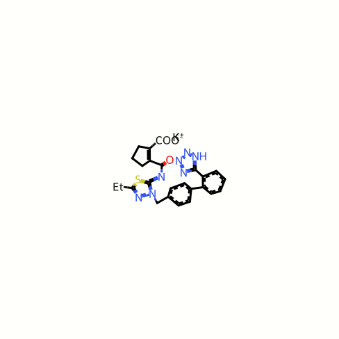 CCc1nn(Cc2ccc(-c3ccccc3-c3nnn[nH]3)cc2)c(=NC(=O)C2=C(C(=O)[O-])CCC2)s1.[K+]